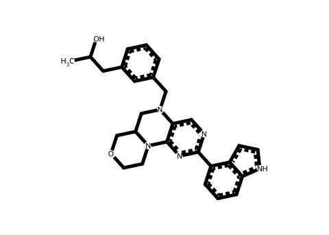 CC(O)Cc1cccc(CN2CC3COCCN3c3nc(-c4cccc5[nH]ccc45)ncc32)c1